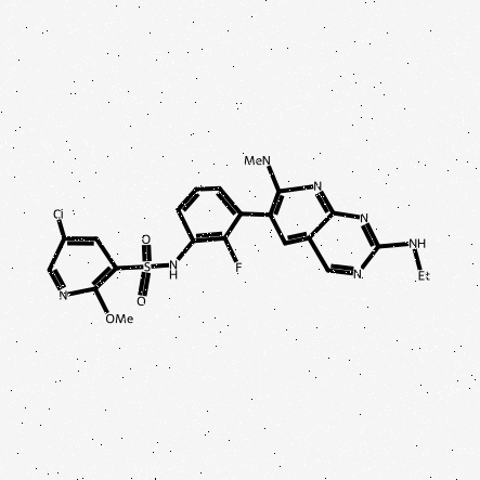 CCNc1ncc2cc(-c3cccc(NS(=O)(=O)c4cc(Cl)cnc4OC)c3F)c(NC)nc2n1